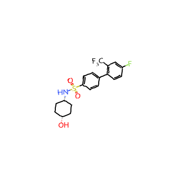 O=S(=O)(N[C@H]1CC[C@@H](O)CC1)c1ccc(-c2ccc(F)cc2C(F)(F)F)cc1